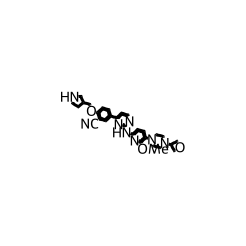 COc1nc(Nc2nccc(-c3ccc(OCC4CCNC4)c(C#N)c3)n2)ccc1N1CCN(C2COC2)CC1